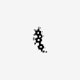 CCCCc1ccc(-c2cc3c(c(F)c2F)-c2c(cc(CC)c(F)c2F)C3)cc1